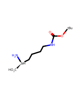 CC(C)(C)OC(=O)NCCCC[Si@H](N)C(=O)O